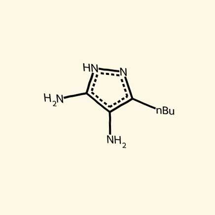 CCCCc1n[nH]c(N)c1N